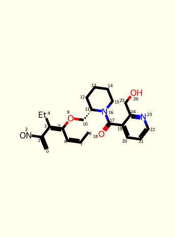 C=C(N=O)/C(CC)=C(\C=C/C)OC[C@@H]1CCCCN1C(=O)c1cccnc1CO